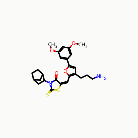 COc1cc(OC)cc(-c2cc(CCCN)c(/C=C3/SC(=S)N(C4CC5CCC4C5)C3=O)o2)c1